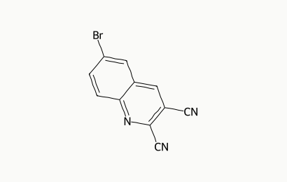 N#Cc1cc2cc(Br)ccc2nc1C#N